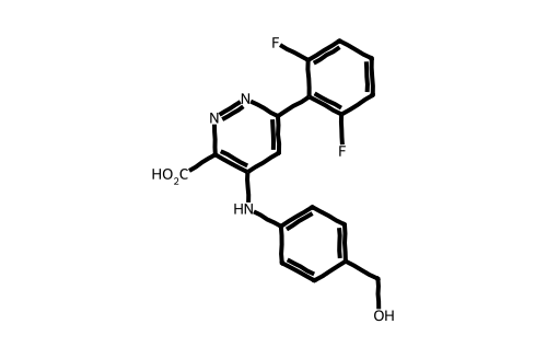 O=C(O)c1nnc(-c2c(F)cccc2F)cc1Nc1ccc(CO)cc1